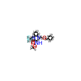 CC(C)(C)OC(=O)NC1CN(CCOCc2ccccc2)c2ccccc2N(CC(F)(F)F)C1=O